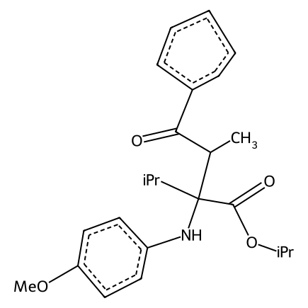 COc1ccc(NC(C(=O)OC(C)C)(C(C)C)C(C)C(=O)c2ccccc2)cc1